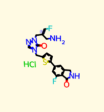 Cl.NC/C(=C\F)Cn1ncn(Cc2ccc(-c3cc(F)c4c(c3)CNC4=O)s2)c1=O